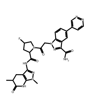 CC1Cc2c(NC(=O)C3CC(F)CN3C(=O)Cn3nc(C(N)=O)c4cc(-c5ccnnc5)ccc43)nn(C)c2NC1=O